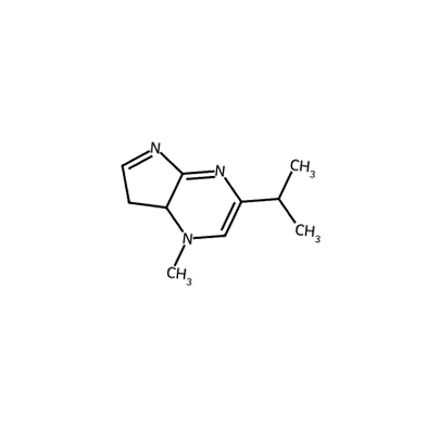 CC(C)C1=CN(C)C2CC=NC2=N1